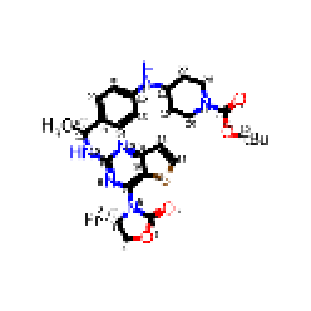 CC(C)[C@H]1COC(=O)N1c1nc(N[C@@H](C)c2ccc(NC3CCN(C(=O)OC(C)(C)C)CC3)cc2)nc2ccsc12